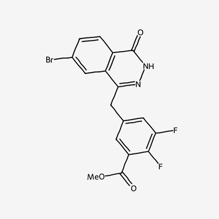 COC(=O)c1cc(Cc2n[nH]c(=O)c3ccc(Br)cc23)cc(F)c1F